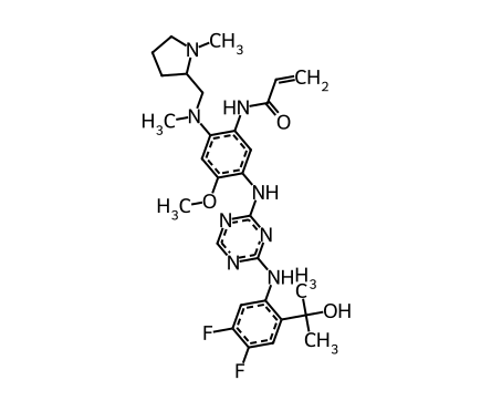 C=CC(=O)Nc1cc(Nc2ncnc(Nc3cc(F)c(F)cc3C(C)(C)O)n2)c(OC)cc1N(C)CC1CCCN1C